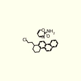 ClCCC1CCCc2c1ccc1c2ccc2ccccc21.NP1(=O)N=CC=CO1